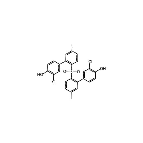 Cc1ccc(S(=O)(=O)c2ccc(C)cc2-c2ccc(O)c(Cl)c2)c(-c2ccc(O)c(Cl)c2)c1